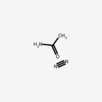 CC(N)=O.N#N